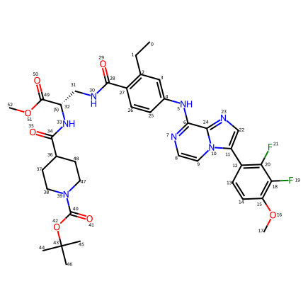 CCc1cc(Nc2nccn3c(-c4ccc(OC)c(F)c4F)cnc23)ccc1C(=O)NC[C@H](NC(=O)C1CCN(C(=O)OC(C)(C)C)CC1)C(=O)OC